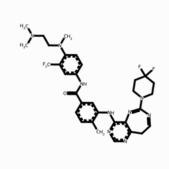 Cc1ccc(C(=O)Nc2ccc(N(C)CCN(C)C)c(C(F)(F)F)c2)cc1Nc1ncnc2c1N=C(N1CCC(F)(F)CC1)N=CC2